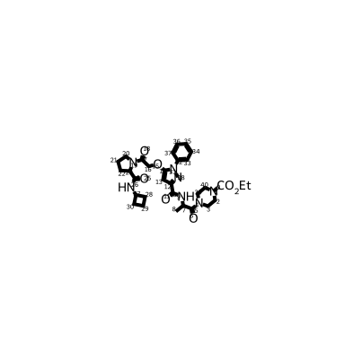 CCOC(=O)N1CCN(C(=O)C(C)NC(=O)c2cc(OCC(=O)N3CCCC3C(=O)NC3CCC3)n(-c3ccccc3)n2)CC1